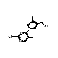 Cc1cn(-c2nc(Cl)ncc2C)cc1CO